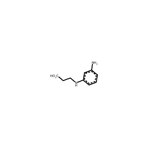 Nc1cccc(NCCC(=O)O)c1